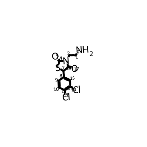 NCCN1C(=O)SC(c2ccc(Cl)c(Cl)c2)C1=O